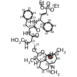 CCOP(=O)(/C=C/[C@H](NC(=O)[C@H](Cc1ccccc1)NC(=O)[C@H](CO[C@H]1O[C@@H]2O[C@@]3(C)CC[C@H]4[C@H](C)CC[C@@H]([C@H]1C)[C@@]24OO3)NC(=O)O)c1ccccc1)OCC